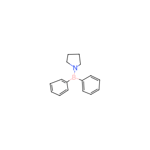 c1ccc(B(c2ccccc2)N2CCCC2)cc1